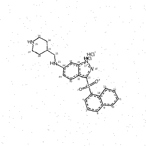 Cl.Cl.O=S(=O)(c1cccc2ccccc12)c1n[nH]c2cc(NCC3CCNCC3)ccc12